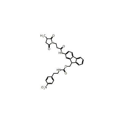 CC1CC(=O)N(CCC(=O)Nc2ccc3c(c2)C(COC(=O)NCCc2ccc([N+](=O)[O-])cc2)c2ccccc2-3)C1=O